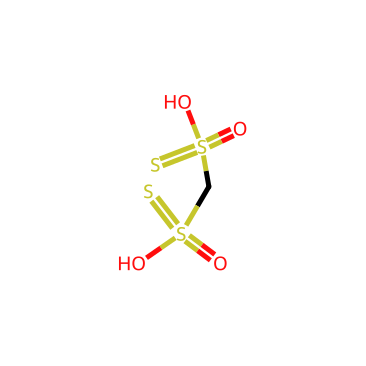 O=S(O)(=S)CS(=O)(O)=S